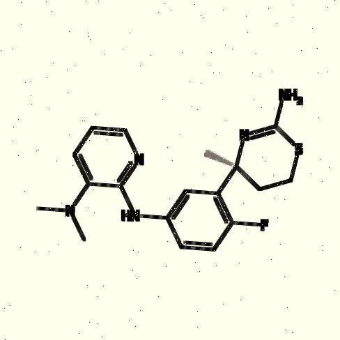 CN(C)c1cccnc1Nc1ccc(F)c([C@]2(C)CCSC(N)=N2)c1